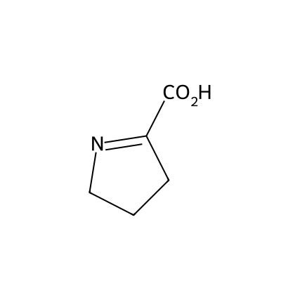 O=C(O)C1=NCCC1